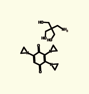 NCC(CO)(CO)CO.O=C1C=C(N2CC2)C(=O)C(N2CC2)=C1N1CC1